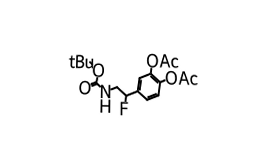 CC(=O)Oc1ccc(C(F)CNC(=O)OC(C)(C)C)cc1OC(C)=O